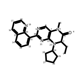 CCC1C(=O)N(C)c2cnc(-c3cccc4cccnc34)nc2N1C1CCCC1